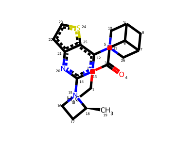 CCOC(=O)CC1C2CC1CN(c1nc(N3CC[C@@H]3C)nc3ccsc13)C2